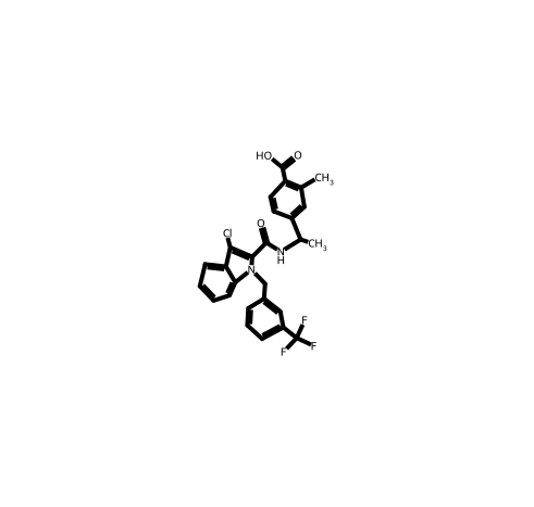 Cc1cc(C(C)NC(=O)c2c(Cl)c3ccccc3n2Cc2cccc(C(F)(F)F)c2)ccc1C(=O)O